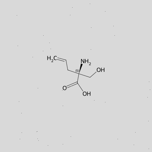 C=CC[C@](N)(CO)C(=O)O